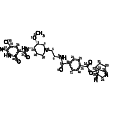 CO[C@@H]1CN(CCNC(=O)c2ccc(C(=O)O[C@H]3CN4CCC3CC4)cc2)CC[C@@H]1NC(=O)c1cc(Cl)c(N)[nH]c1=O